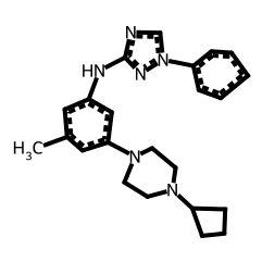 Cc1cc(Nc2ncn(-c3ccccc3)n2)cc(N2CCN(C3CCC3)CC2)c1